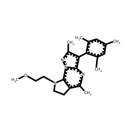 COCCN1CCc2c(C)nc3c(-c4c(C)cc(C)cc4C)c(C)nn3c21